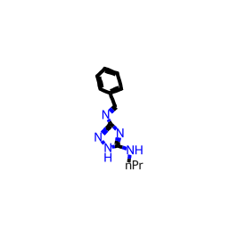 CCCNc1nc(N=Cc2ccccc2)n[nH]1